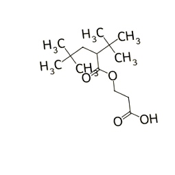 CC(C)(C)CC(C(=O)OCCC(=O)O)C(C)(C)C